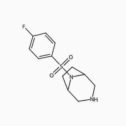 O=S(=O)(c1ccc(F)cc1)N1C2CCC1CNC2